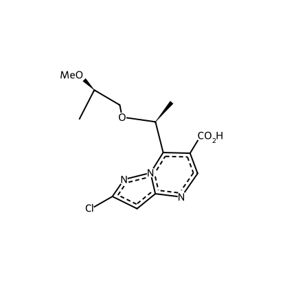 CO[C@H](C)CO[C@@H](C)c1c(C(=O)O)cnc2cc(Cl)nn12